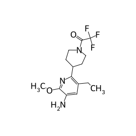 CCc1cc(N)c(OC)nc1C1CCN(C(=O)C(F)(F)F)CC1